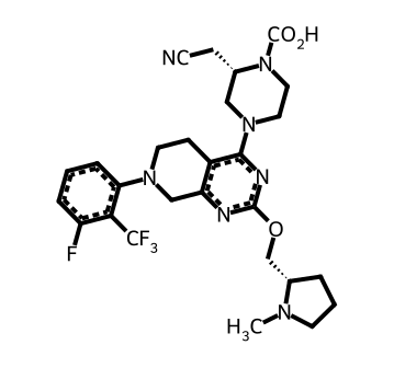 CN1CCC[C@H]1COc1nc2c(c(N3CCN(C(=O)O)[C@@H](CC#N)C3)n1)CCN(c1cccc(F)c1C(F)(F)F)C2